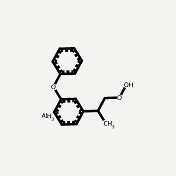 CC(COO)c1cccc(Oc2ccccc2)c1.[AlH3]